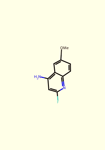 COc1ccc2nc(F)cc(N)c2c1